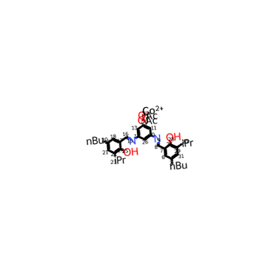 CC(=O)[O-].CC(=O)[O-].CCCCc1cc(C=Nc2cccc(N=Cc3cc(CCCC)cc(C(C)C)c3O)c2)c(O)c(C(C)C)c1.[Co+2]